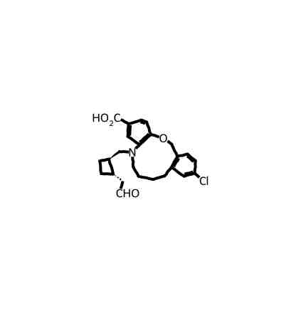 O=CC[C@@H]1CC[C@H]1CN1CCCCc2cc(Cl)ccc2COc2ccc(C(=O)O)cc21